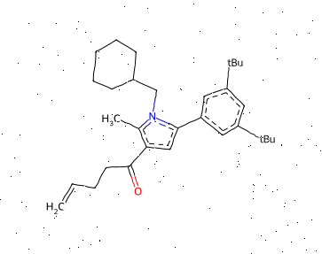 C=CCCC(=O)c1cc(-c2cc(C(C)(C)C)cc(C(C)(C)C)c2)n(CC2CCCCC2)c1C